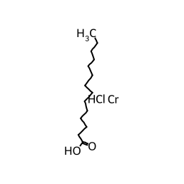 CCCCCCCCCCCCCC(=O)O.Cl.[Cr]